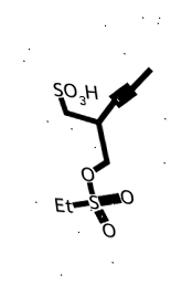 CC#CC(COS(=O)(=O)CC)CS(=O)(=O)O